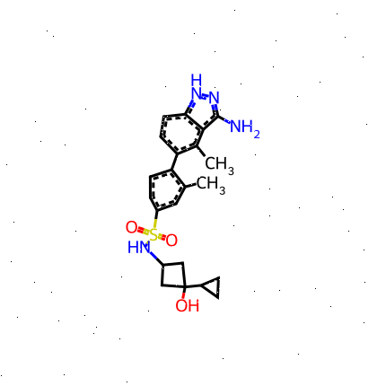 Cc1cc(S(=O)(=O)NC2CC(O)(C3CC3)C2)ccc1-c1ccc2[nH]nc(N)c2c1C